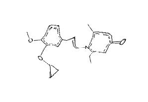 COc1ccc(C=Cn2c(C)cc(=O)cc2C)cc1OC1CC1